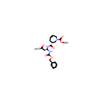 COC(=O)C[C@H](NC(=O)OCc1ccccc1)NC(=O)[C@@H]1CC=CCN(C(=O)OC(C)(C)C)C1